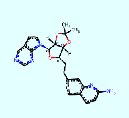 CC1(C)O[C@@H]2[C@H](O1)[C@@H](CCc1ccc3ccc(N)nc3c1)O[C@H]2n1ccc2cncnc21